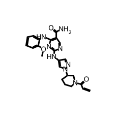 C=CC(=O)N1CCCC(n2cc(Nc3ncc(C(N)=O)c(Nc4ccccc4OC)n3)cn2)C1